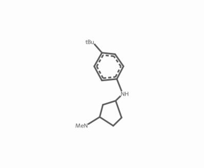 CNC1CCC(Nc2ccc(C(C)(C)C)cc2)C1